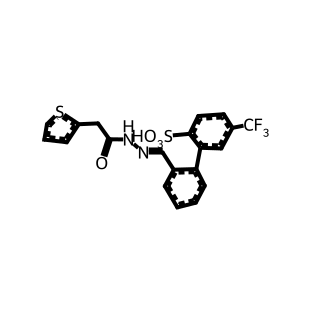 O=C(Cc1cccs1)N/N=C/c1ccccc1-c1cc(C(F)(F)F)ccc1S(=O)(=O)O